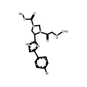 CC(C)(C)OC(=O)N1CC(c2nc(-c3ccc(Br)cc3)c[nH]2)N(C(=O)CNC=O)C1